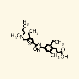 CCCN(C)Cc1sc(-c2nc(-c3cc(C)c(CCC(=O)O)c(CC)c3)no2)cc1CC